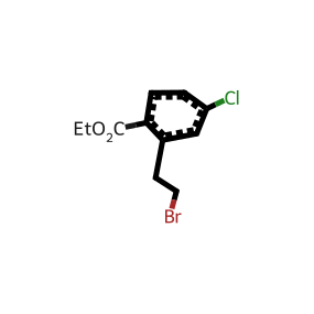 CCOC(=O)c1ccc(Cl)cc1CCBr